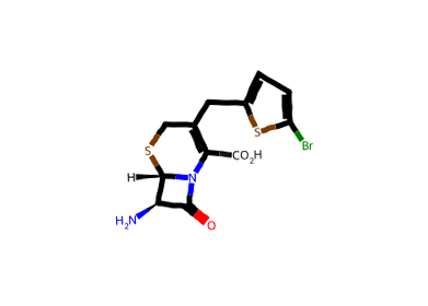 N[C@@H]1C(=O)N2C(C(=O)O)=C(Cc3ccc(Br)s3)CS[C@@H]12